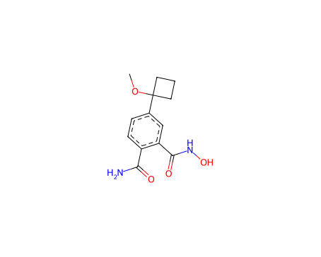 COC1(c2ccc(C(N)=O)c(C(=O)NO)c2)CCC1